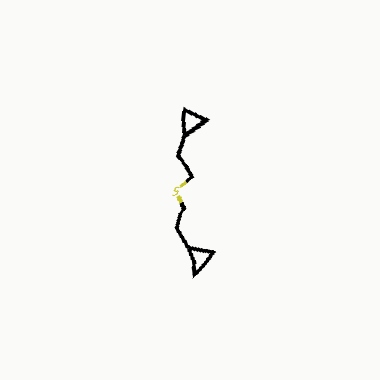 C(CC1CC1)SCCC1CC1